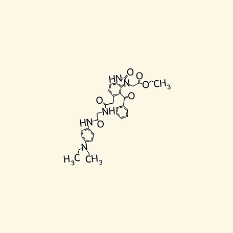 CCOC(=O)Cn1c(=O)[nH]c2ccc(CC(=O)NCC(=O)Nc3ccc(N(CC)CC)cc3)c(C(=O)c3ccccc3)c21